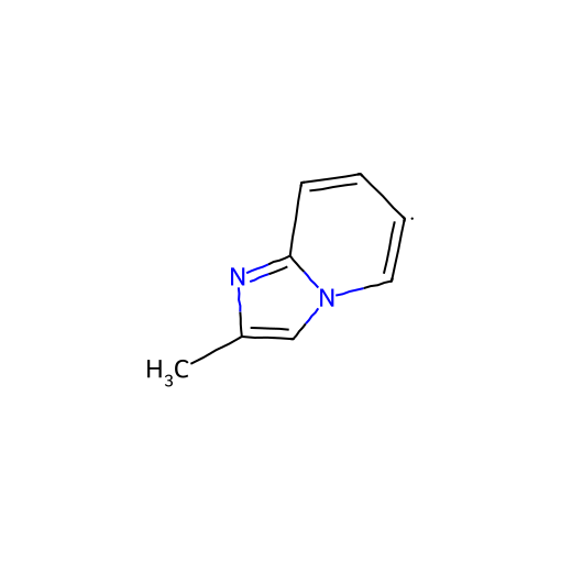 Cc1cn2c[c]ccc2n1